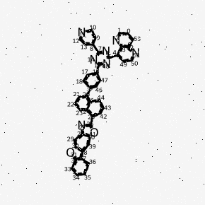 c1cnc2c(-c3nc(-c4ccncc4)nc(-c4ccc(-c5cccc6c(-c7nc8cc9oc%10ccccc%10c9cc8o7)cccc56)cc4)n3)ccnc2c1